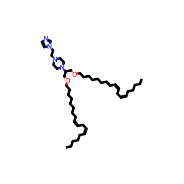 CCCCC/C=C\C/C=C\CCCCCCCCOCC(COCCCCCCCC/C=C\C/C=C\CCCCC)N1CCN(CCn2ccnc2)CC1